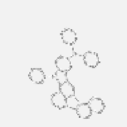 c1ccc(N(c2ccccc2)c2ccc3c(c2)c2cc4c5c(cccc5c2n3-c2ccccc2)-c2ccc3ccccc3c2-4)cc1